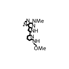 CNc1nc2[nH]c(-c3cccc(NCCOC)n3)cc2c2c1ncn2C